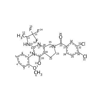 COc1ccccc1-n1c(N[C@@H](C)C(F)(F)F)nc2c(c1=O)CCN(C(=O)c1ccc(Cl)c(Cl)c1)C2